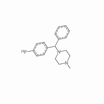 CN1CCN(C(c2ccccc2)c2ccc([18F])cc2)CC1